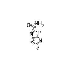 Cc1nc2c(s1)N=C(C(N)=O)C2